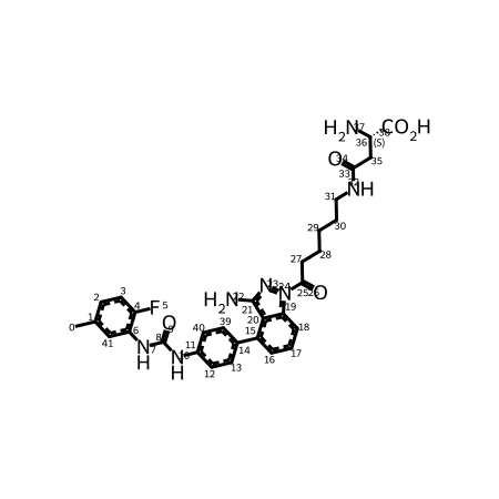 Cc1ccc(F)c(NC(=O)Nc2ccc(-c3cccc4c3c(N)nn4C(=O)CCCCCNC(=O)C[C@H](N)C(=O)O)cc2)c1